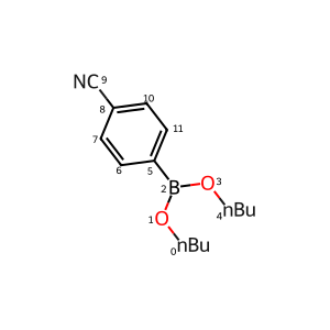 CCCCOB(OCCCC)c1ccc(C#N)cc1